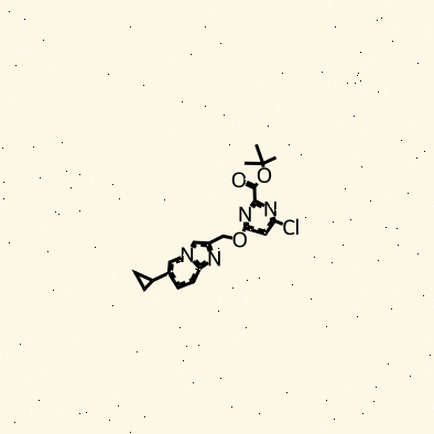 CC(C)(C)OC(=O)c1nc(Cl)cc(OCc2cn3cc(C4CC4)ccc3n2)n1